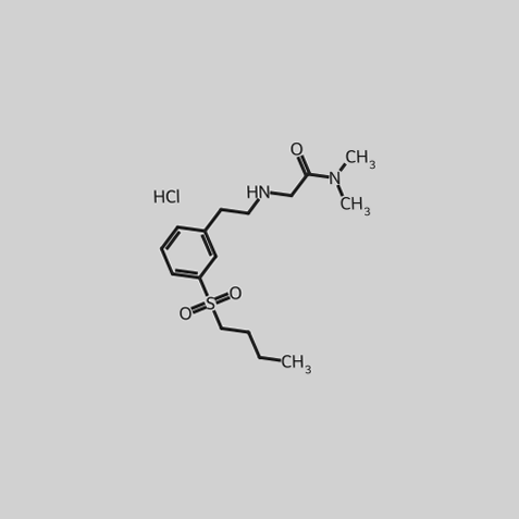 CCCCS(=O)(=O)c1cccc(CCNCC(=O)N(C)C)c1.Cl